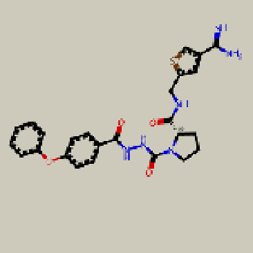 N=C(N)c1csc(CNC(=O)[C@@H]2CCCN2C(=O)NNC(=O)c2ccc(Oc3ccccc3)cc2)c1